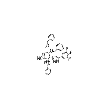 [CH2]CC[C@]1(C#N)O[C@H](COCc2ccccc2)[C@H](OCc2ccccc2)[C@H](n2cc(-c3cc(F)c(F)c(F)c3)nn2)[C@H]1OCc1ccccc1